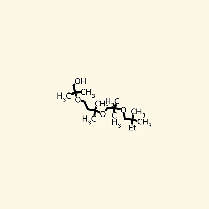 CCC(C)(C)COC(C)(C)COC(C)(C)CCOC(C)(C)CO